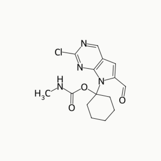 CNC(=O)OC1(n2c(C=O)cc3cnc(Cl)nc32)CCCCC1